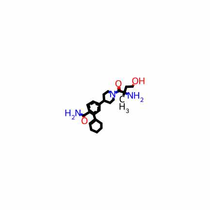 CC(N)(CCO)C(=O)N1CCC(c2ccc(C(N)=O)c(C3=CCCCC3)c2)CC1